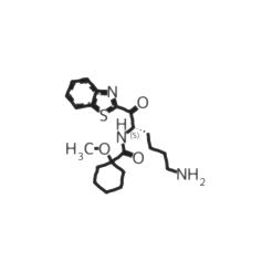 COC1(C(=O)N[C@@H](CCCCN)C(=O)c2nc3ccccc3s2)CCCCC1